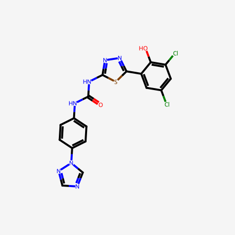 O=C(Nc1ccc(-n2cncn2)cc1)Nc1nnc(-c2cc(Cl)cc(Cl)c2O)s1